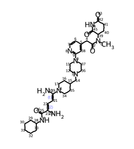 CN(C(=O)Cc1ccnc(N2CCN(CC3CCN(/C(N)=C/C=C(\N)C(=O)NC4CCCCC4)CC3)CC2)c1)C1CCC(=O)NC1=O